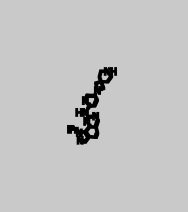 CC(C)n1ncc2ccc3cnc(Nc4ccc(N5CC6(CCNCC6)C5)cn4)nc3c21